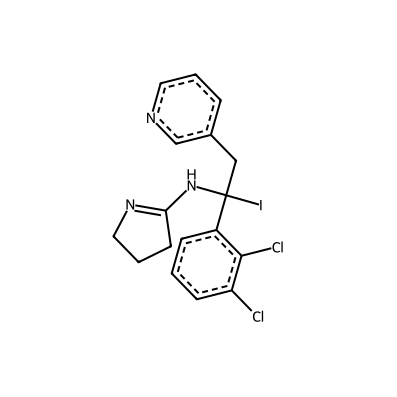 Clc1cccc(C(I)(Cc2cccnc2)NC2=NCCC2)c1Cl